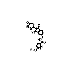 CCOc1ccc(C(=O)NCc2ccc3c(c2)C(=O)N(C2CCC(=O)NC2=O)C3=O)nn1